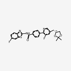 CC1(C)OC[C@@H](Cc2cnc(-c3ccc(C(=O)Nc4nc5ccc(F)cc5s4)cc3)c(F)c2)O1